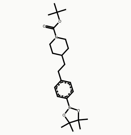 CC(C)(C)OC(=O)N1CCC(CCc2ccc(B3OC(C)(C)C(C)(C)O3)cc2)CC1